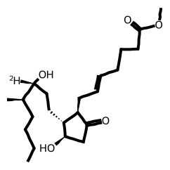 [2H][C@@](O)(CC[C@H]1[C@H](O)CC(=O)[C@@H]1CC=CCCCC(=O)OC)[C@H](C)CCCC